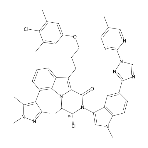 Cc1cnc(-n2cnc(-c3ccc4c(c3)c(N3C(=O)c5c(CCCOc6cc(C)c(Cl)c(C)c6)c6cccc(-c7c(C)nn(C)c7C)c6n5C(C)[C@H]3Cl)cn4C)n2)nc1